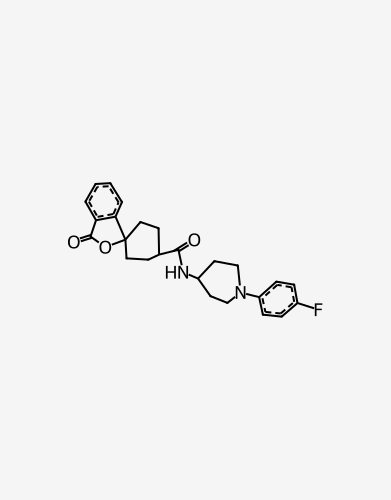 O=C1OC2(CCC(C(=O)NC3CCN(c4ccc(F)cc4)CC3)CC2)c2ccccc21